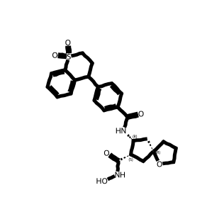 O=C(N[C@@H]1C[C@@]2(CCCO2)C[C@@H]1C(=O)NO)c1ccc(C2CCS(=O)(=O)c3ccccc32)cc1